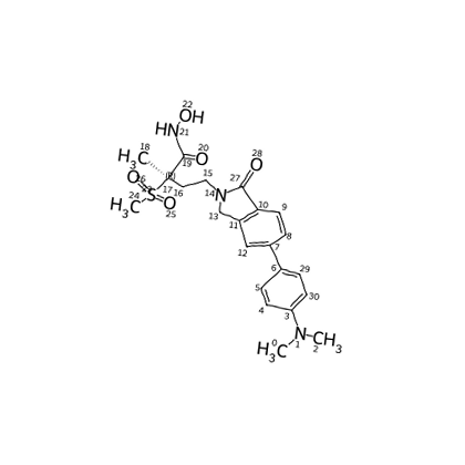 CN(C)c1ccc(-c2ccc3c(c2)CN(CC[C@](C)(C(=O)NO)S(C)(=O)=O)C3=O)cc1